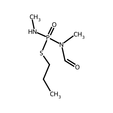 CCCSP(=O)(NC)N(C)C=O